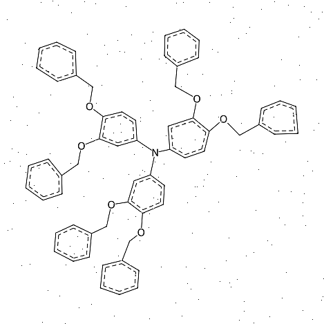 c1ccc(COc2ccc(N(c3ccc(OCc4ccccc4)c(OCc4ccccc4)c3)c3ccc(OCc4ccccc4)c(OCc4ccccc4)c3)cc2OCc2ccccc2)cc1